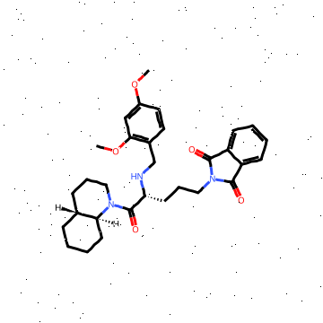 COc1ccc(CN[C@H](CCCN2C(=O)c3ccccc3C2=O)C(=O)N2CCC[C@H]3CCCC[C@@H]32)c(OC)c1